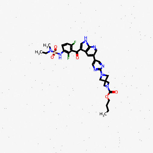 CCCCOC(=O)N1CC2(C1)CN(c1ncc(-c3cnc4[nH]cc(C(=O)c5c(F)ccc(NS(=O)(=O)N(C)CC)c5F)c4c3)cn1)C2